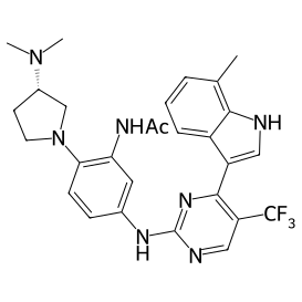 CC(=O)Nc1cc(Nc2ncc(C(F)(F)F)c(-c3c[nH]c4c(C)cccc34)n2)ccc1N1CC[C@H](N(C)C)C1